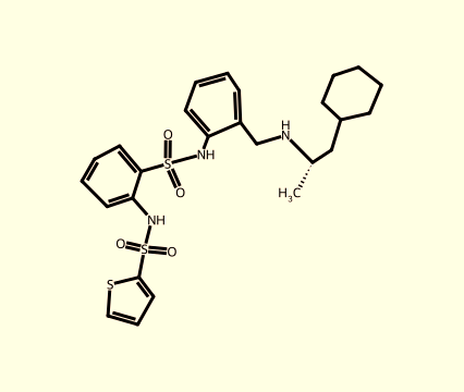 C[C@@H](CC1CCCCC1)NCc1ccccc1NS(=O)(=O)c1ccccc1NS(=O)(=O)c1cccs1